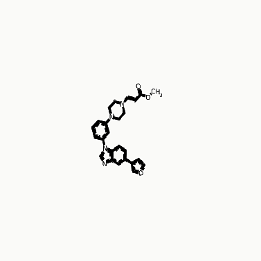 COC(=O)C=CN1CCN(c2cccc(-n3cnc4cc(-c5ccoc5)ccc43)c2)CC1